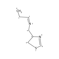 CC/C=N\CC1CSC=N1